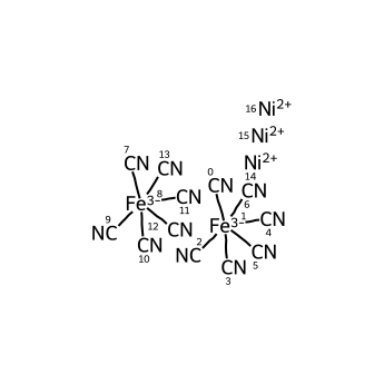 N#[C][Fe-3]([C]#N)([C]#N)([C]#N)([C]#N)[C]#N.N#[C][Fe-3]([C]#N)([C]#N)([C]#N)([C]#N)[C]#N.[Ni+2].[Ni+2].[Ni+2]